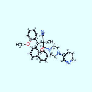 COc1ccccc1C(c1cccc2ccccc12)C(C)(C#N)C(=O)N1CCN(c2cccnc2)CC1